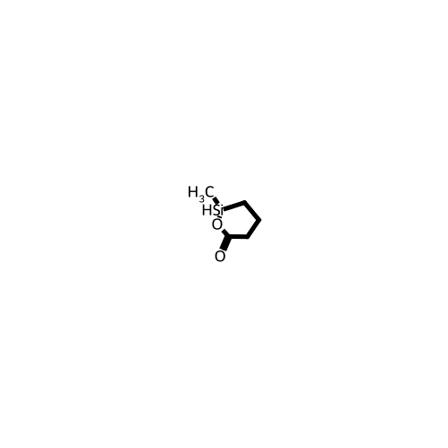 C[SiH]1CCCC(=O)O1